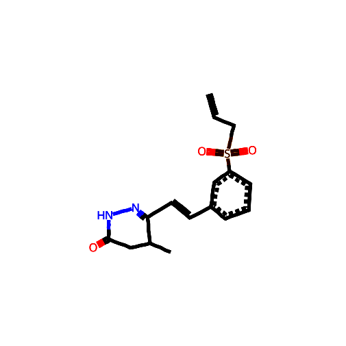 C=CCS(=O)(=O)c1cccc(C=CC2=NNC(=O)CC2C)c1